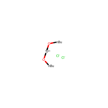 CCCC[O][Ti+2][O]CCCC.[Cl-].[Cl-]